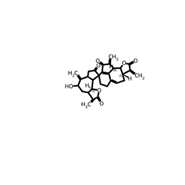 C=C1C(O)CC2C(=C)C(=O)O[C@@H]2C2C1CC(=O)C21CCC2=CC[C@H]3C(=C)C(=O)OC3[C@H]3C(=C)C(=O)C1=C23